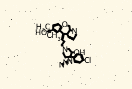 CC(C)(O)c1ccc2c(c1)/C(=C/CCN1CCC(N=[N+]=[N-])(c3ccc(Cl)cc3)C(O)C1)C1C=CC=NC1CO2